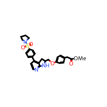 COC(=O)Cc1ccc(OCC2Cc3c(-c4ccc(S(=O)(=O)N5CCCC5)cc4)ccnc3N2)cc1